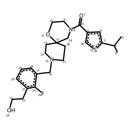 CC(C)c1cc(C(=O)N2CCOC3(CCN(Cc4cccc(CCO)c4F)CC3)C2)cs1